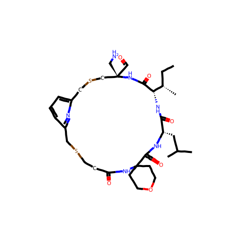 CC[C@H](C)[C@@H]1NC(=O)[C@H](CC(C)C)NC(=O)C2(CCOCC2)NC(=O)CCSCc2cccc(n2)CSC[C@@](C=O)(CN)NC1=O